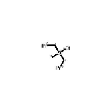 CC[Si](C)(CC(C)C)CC(C)C